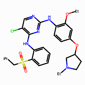 CCOc1cc(OC2CCN(CC)C2)ccc1Nc1ncc(Cl)c(Nc2ccccc2S(=O)(=O)CC(C)C)n1